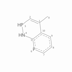 CC1=CPNc2pcccc21